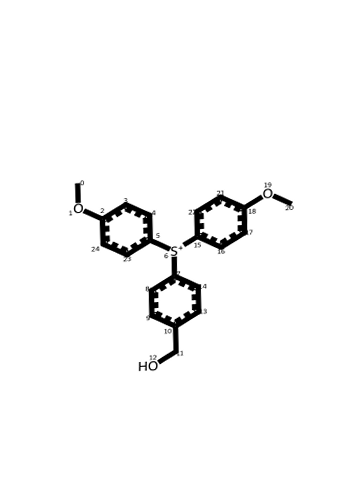 COc1ccc([S+](c2ccc(CO)cc2)c2ccc(OC)cc2)cc1